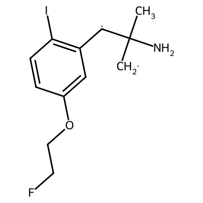 [CH2]C(C)(N)[CH]c1cc(OCCF)ccc1I